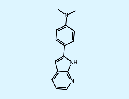 CN(C)c1ccc(-c2cc3cccnc3[nH]2)cc1